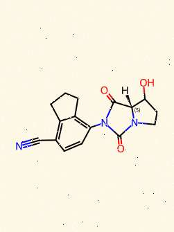 N#Cc1ccc(N2C(=O)[C@@H]3C(O)CCN3C2=O)c2c1CCC2